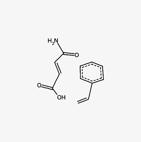 C=Cc1ccccc1.NC(=O)C=CC(=O)O